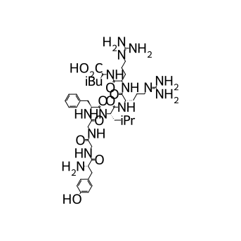 CC[C@H](C)[C@H](NC(=O)C(CCCN=C(N)N)NC(=O)[C@H](CCCN=C(N)N)NC(=O)[C@H](CC(C)C)NC(=O)[C@H](Cc1ccccc1)NC(=O)CNC(=O)CNC(=O)[C@@H](N)Cc1ccc(O)cc1)C(=O)O